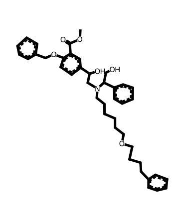 COC(=O)c1cc(C(O)CN(CCCCCCOCCCCc2ccccc2)C(CO)c2ccccc2)ccc1OCc1ccccc1